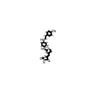 CN1C=C=C(/C=C2\SC(=O)NC2=O)N=C1N[C@H]1CC[C@H](NCCc2ccc(C#N)cc2)CC1